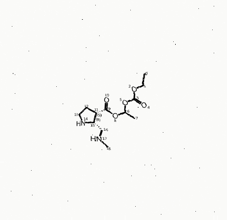 CCOC(=O)OC(C)OC(=O)[C@H]1CCN[C@H]1CNC